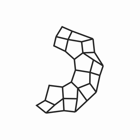 C1C2CC3C4C5C6C7CC8CC9C%10C%11C%12C%13C%14C%15C%16C%17C1C2C3%17C%16C%154C%14C%135C%12C%116C%10C897